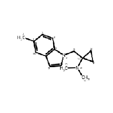 Cc1ccc2c(ccn2CC2(N(C)C)CC2)c1